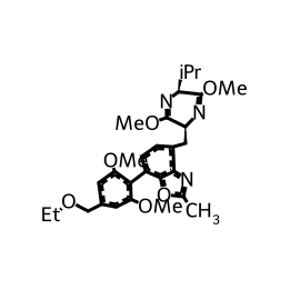 CCOCc1cc(OC)c(-c2ccc(C[C@@H]3N=C(OC)[C@H](C(C)C)N=C3OC)c3nc(C)oc23)c(OC)c1